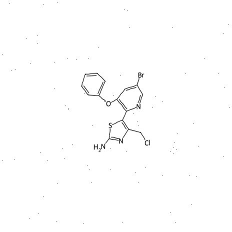 Nc1nc(CCl)c(-c2ncc(Br)cc2Oc2ccccc2)s1